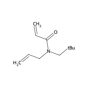 C=CCN(CC(C)(C)C)C(=O)C=C